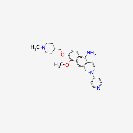 COc1c(OCC2CCN(C)CC2)ccc2c(N)c3c(cc12)CN(c1ccncc1)C=C3